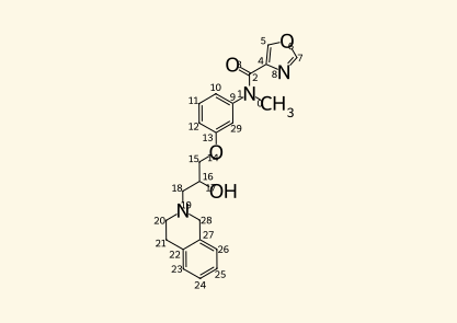 CN(C(=O)c1cocn1)c1cccc(OCC(O)CN2CCc3ccccc3C2)c1